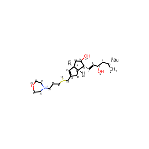 CCCC[C@H](C)C[C@H](O)/C=C/[C@@H]1[C@H]2CC(CSCCCN3CCOCC3)=C[C@H]2C[C@H]1O